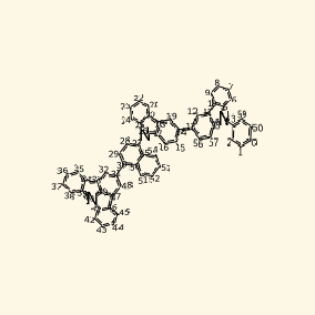 c1ccc(-n2c3ccccc3c3cc(-c4ccc5c(c4)c4ccccc4n5-c4ccc(-c5cc6c7ccccc7n7c8ccccc8c(c5)c67)c5ccccc45)ccc32)cc1